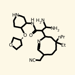 CCCC1(CC)CCC(CC#N)/C=N\C(C(C(=O)NC2CNCCC2O[C@@H]2CCOC2)C(N)N)C1